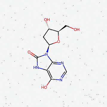 O=c1[nH]c2c(O)ncnc2n1[C@H]1C[C@H](O)[C@@H](CO)O1